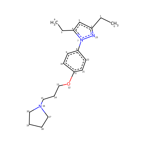 CCc1cc(CC)n(-c2ccc(OCCCN3CCCC3)cc2)n1